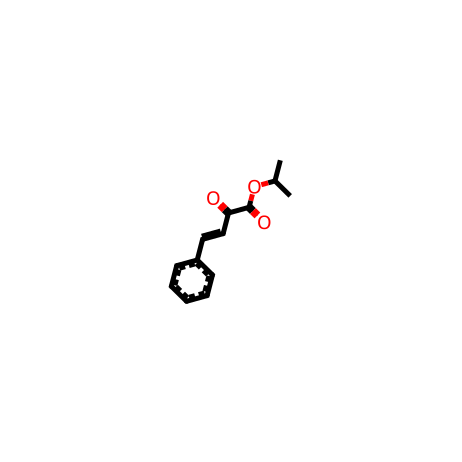 CC(C)OC(=O)C(=O)C=Cc1ccccc1